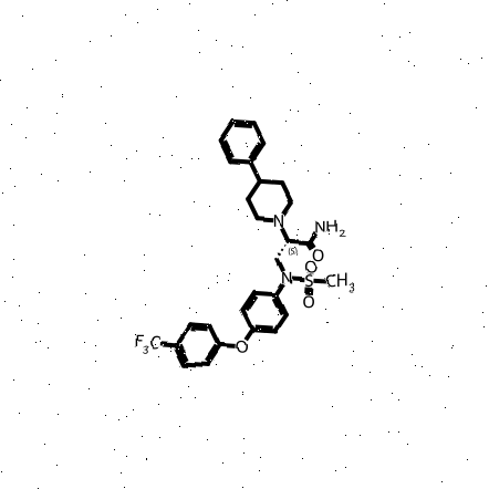 CS(=O)(=O)N(C[C@@H](C(N)=O)N1CCC(c2ccccc2)CC1)c1ccc(Oc2ccc(C(F)(F)F)cc2)cc1